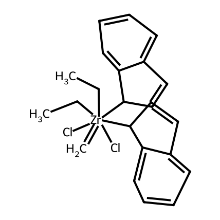 [CH2]=[Zr]([Cl])([Cl])([CH2]C)([CH2]C)([CH]1C=Cc2ccccc21)[CH]1C=Cc2ccccc21